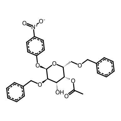 CC(=O)O[C@@H]1[C@H](O)[C@@H](OCc2ccccc2)[C@@H](Oc2ccc([N+](=O)[O-])cc2)O[C@@H]1COCc1ccccc1